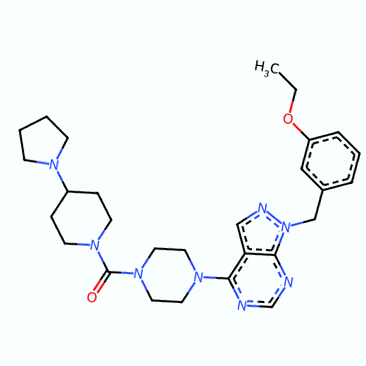 CCOc1cccc(Cn2ncc3c(N4CCN(C(=O)N5CCC(N6CCCC6)CC5)CC4)ncnc32)c1